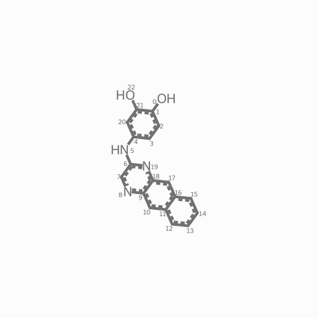 Oc1ccc(Nc2cnc3cc4ccccc4cc3n2)cc1O